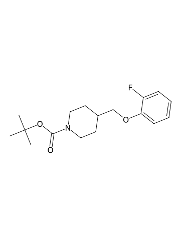 CC(C)(C)OC(=O)N1CCC(COc2ccccc2F)CC1